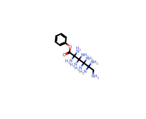 NCC(N)(N)C(N)(N)C(N)(N)C(N)(N)C(=O)Oc1ccccc1